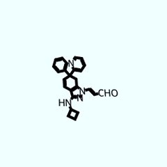 O=CC=Cn1nc(NC2CCC2)c2c1CC(c1ccccc1)(c1ccccn1)C=C2